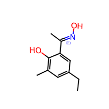 CCc1cc(C)c(O)c(/C(C)=N/O)c1